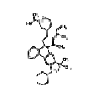 C=C/C(C)=N/C(=C)C1C(CCC(/C=C\CC)CNC(=C)O)c2ccccc2-c2cc(CC3CCCCC3)c([Si](C)(C)C)c[n+]21